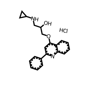 Cl.OC(CNC1CC1)COc1cc(-c2ccccc2)nc2ccccc12